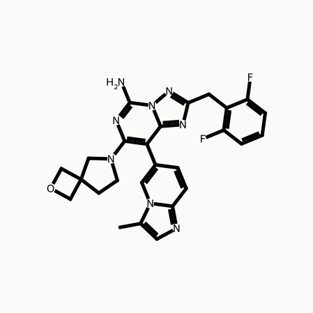 Cc1cnc2ccc(-c3c(N4CCC5(COC5)C4)nc(N)n4nc(Cc5c(F)cccc5F)nc34)cn12